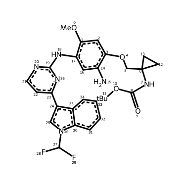 COc1cc(OCC2(NC(=O)OC(C)(C)C)CC2)c(N)cc1Nc1nccc(-c2cn(C(F)F)c3ccccc23)n1